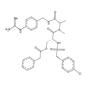 CC(C(=O)NCc1ccc(NC(=N)N)cc1)N(C)C(=O)[C@@H](COC(=O)Cc1ccccc1)NS(=O)(=O)Cc1ccc(Cl)cc1